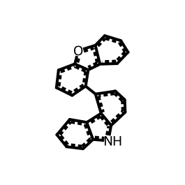 c1ccc2c(c1)[nH]c1cccc(-c3cccc4oc5ccccc5c34)c12